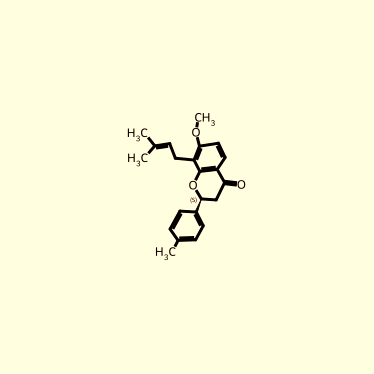 COc1ccc2c(c1CC=C(C)C)O[C@H](c1ccc(C)cc1)CC2=O